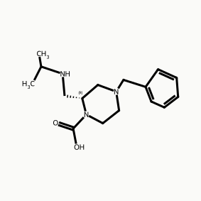 CC(C)NC[C@@H]1CN(Cc2ccccc2)CCN1C(=O)O